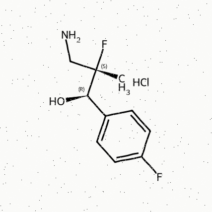 C[C@](F)(CN)[C@H](O)c1ccc(F)cc1.Cl